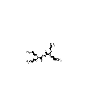 C=CCSN(SCC=C)C(=S)SSC(=S)N(SCC=C)SCC=C